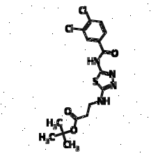 CC(C)(C)OC(=O)CCNc1nnc(NC(=O)c2ccc(Cl)c(Cl)c2)s1